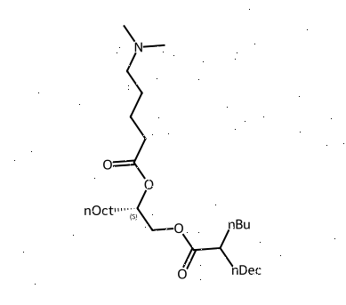 CCCCCCCCCCC(CCCC)C(=O)OC[C@H](CCCCCCCC)OC(=O)CCCCN(C)C